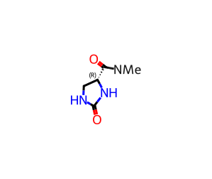 CNC(=O)[C@H]1CNC(=O)N1